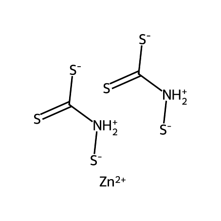 S=C([S-])[NH2+][S-].S=C([S-])[NH2+][S-].[Zn+2]